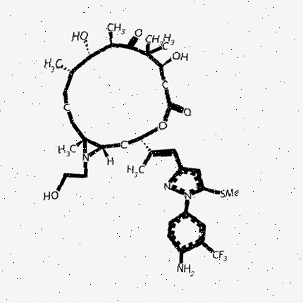 CSc1cc(/C=C(\C)[C@@H]2C[C@@H]3N(CCO)[C@]3(C)CCC[C@H](C)[C@H](O)[C@@H](C)C(=O)C(C)(C)[C@@H](O)CC(=O)O2)nn1-c1ccc(N)c(C(F)(F)F)c1